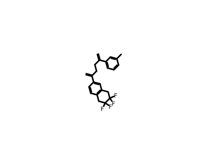 C=C(CCC(=C)c1ccc2c(c1)CC(F)(F)C(F)(F)C2)c1cccc(C)c1